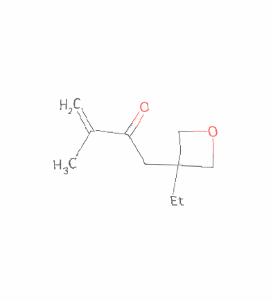 C=C(C)C(=O)CC1(CC)COC1